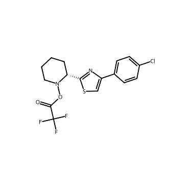 O=C(ON1CCCC[C@@H]1c1nc(-c2ccc(Cl)cc2)cs1)C(F)(F)F